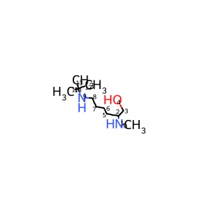 CNC(CO)CCCCNC(C)(C)C